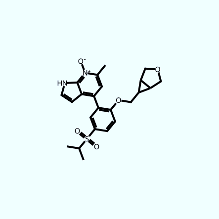 Cc1cc(-c2cc(S(=O)(=O)C(C)C)ccc2OCC2C3COCC32)c2cc[nH]c2[n+]1[O-]